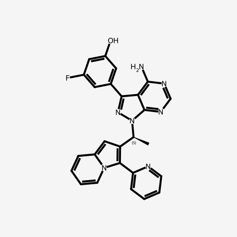 C[C@@H](c1cc2ccccn2c1-c1ccccn1)n1nc(-c2cc(O)cc(F)c2)c2c(N)ncnc21